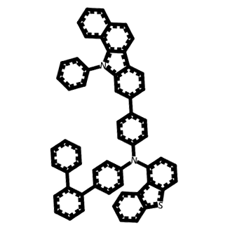 c1ccc(-c2ccccc2-c2ccc(N(c3ccc(-c4ccc5c6ccc7ccccc7c6n(-c6ccccc6)c5c4)cc3)c3cccc4sc5ccccc5c34)cc2)cc1